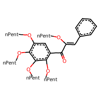 CCCCCOC(=Cc1ccccc1)C(=O)c1cc(OCCCCC)c(OCCCCC)c(OCCCCC)c1OCCCCC